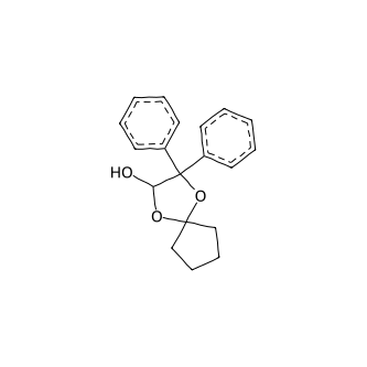 OC1OC2(CCCC2)OC1(c1ccccc1)c1ccccc1